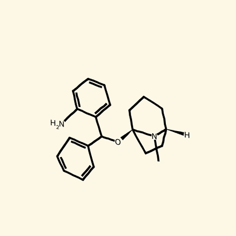 CN1[C@@H]2CCC[C@@]1(OC(c1ccccc1)c1ccccc1N)CC2